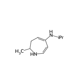 CC(C)NC1=CCC(C)NC=C1